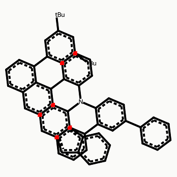 CC(C)(C)c1cc(-c2cccc3cccc(-c4ccccc4N(c4ccc(-c5ccccc5)cc4-c4ccccc4)c4cccc5sc6ccccc6c45)c23)cc(C(C)(C)C)c1